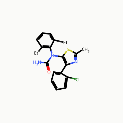 CCc1cccc(CC)c1N(C(N)=O)c1sc(C)nc1-c1ccccc1Cl